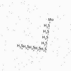 S.S.S.S.S.S.S.S.S.[Mo]